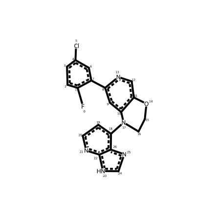 Fc1ccc(Cl)cc1-c1cc2c(cn1)OCCN2c1ccnc2[nH]cnc12